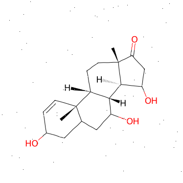 C[C@]12C=CC(O)CC1CC(O)[C@@H]1[C@H]2CC[C@]2(C)C(=O)CC(O)[C@@H]12